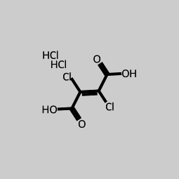 Cl.Cl.O=C(O)C(Cl)=C(Cl)C(=O)O